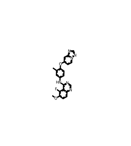 COc1ccc2ncnc(Nc3ccc(Oc4ccn5ncnc5c4)c(C)c3)c2c1F